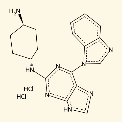 Cl.Cl.N[C@H]1CC[C@H](Nc2nc(-n3cnc4ccccc43)c3nc[nH]c3n2)CC1